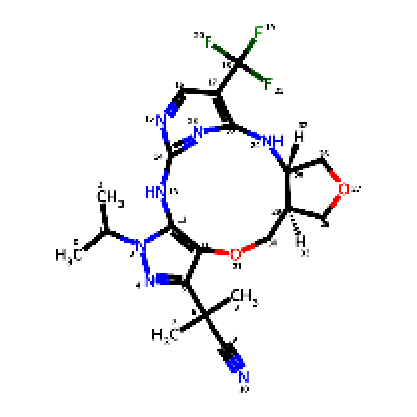 CC(C)n1nc(C(C)(C)C#N)c2c1Nc1ncc(C(F)(F)F)c(n1)N[C@@H]1COC[C@H]1CO2